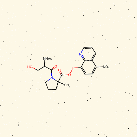 CC(=O)NC(CO)C(=O)N1CCCC1(C)C(=O)OOc1ccc([N+](=O)[O-])c2cccnc12